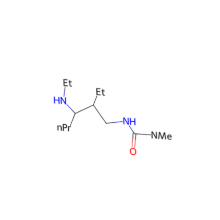 CCCC(NCC)C(CC)CNC(=O)NC